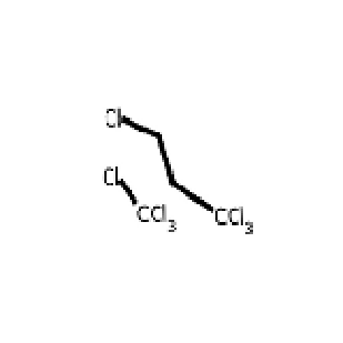 ClC(Cl)(Cl)Cl.ClCCC(Cl)(Cl)Cl